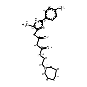 Cc1ccc(-c2nc(CC(=O)CC(=O)NCCN3CCCCCC3)c(C)o2)cc1